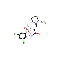 C[C@@H]1CCC[C@H](C)N1C[C@@H](NS(=O)(=O)c1cc(Cl)cc(Cl)c1)C(N)=O